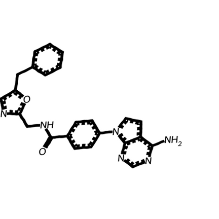 Nc1ncnc2c1ccn2-c1ccc(C(=O)NCc2ncc(Cc3ccccc3)o2)cc1